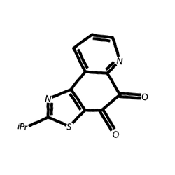 CC(C)c1nc2c(s1)C(=O)C(=O)c1ncccc1-2